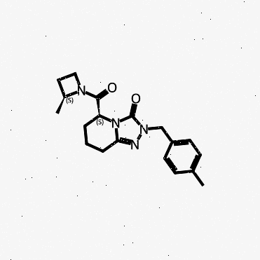 Cc1ccc(Cn2nc3n(c2=O)[C@H](C(=O)N2CC[C@@H]2C)CCC3)cc1